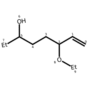 C=CC(CCC(O)CC)OCC